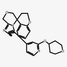 c1ccc2c(c1)OCCC21COCc2nc3ccc(-c4ccnc(OC5CCOCC5)c4)nc3n21